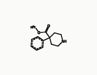 CCCOC(=O)C1(c2ccccc2)CCNCC1